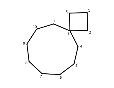 [CH]1CCC12CCCCCCCC2